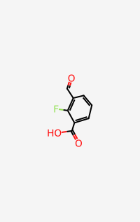 O=Cc1cccc(C(=O)O)c1F